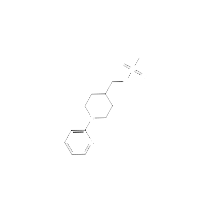 CS(=O)(=O)OCC1CCN(c2ccccn2)CC1